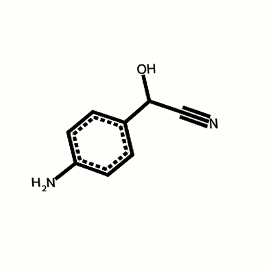 N#CC(O)c1ccc(N)cc1